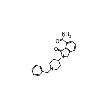 NC(=O)c1cccc2c1C(=O)N(C1CCN(Cc3ccccc3)CC1)C2